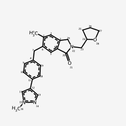 Cc1cc2c(cc1Cc1ccc(-c3cnn(C)c3)cc1)C(=O)N(CC1CCCO1)C2